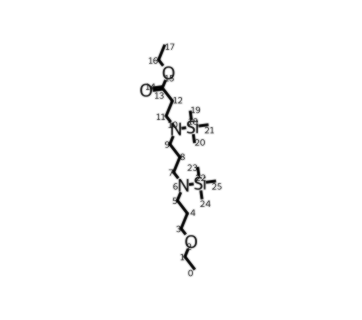 CCOCCCN(CCCN(CCC(=O)OCC)[Si](C)(C)C)[Si](C)(C)C